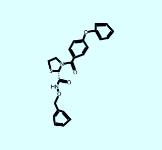 O=C(NOCc1ccccc1)[C@@H]1SCCN1C(=O)c1ccc(Oc2ccccc2)cc1